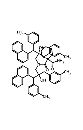 Cc1cccc(CC(O)(CN(CC(O)(Cc2cccc(C)c2)C(c2cccc(C)c2)c2cccc3ccccc23)C(=O)C2(C(N)=O)CCCCC2)C(c2cccc(C)c2)c2cccc3ccccc23)c1